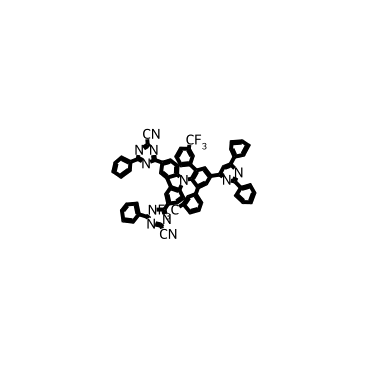 N#Cc1nc(-c2ccccc2)nc(-c2ccc3c(c2)c2cc(-c4nc(C#N)nc(-c5ccccc5)n4)ccc2n3-c2c(-c3cccc(C(F)(F)F)c3)cc(-c3cc(-c4ccccc4)nc(-c4ccccc4)n3)cc2-c2cccc(C(F)(F)F)c2)n1